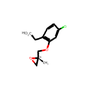 C[C@@]1(COc2cc(Cl)ccc2CC(=O)O)CO1